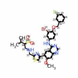 COc1cc2ncnc(Nc3ccc(OCc4cccc(F)c4)c(Br)c3)c2cc1-c1csc(CNCC(C(C)C)=S(=O)=O)n1